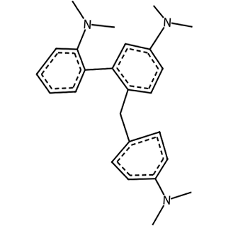 CN(C)c1ccc(Cc2ccc(N(C)C)cc2-c2ccccc2N(C)C)cc1